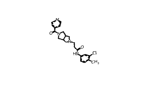 Cc1ccc(NC(=O)CCN2CC3CN(C(=O)c4ccncc4)CC3C2)cc1Cl